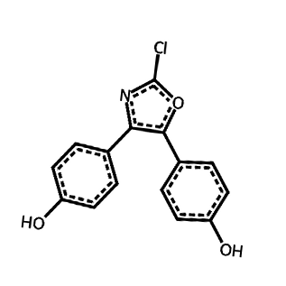 Oc1ccc(-c2nc(Cl)oc2-c2ccc(O)cc2)cc1